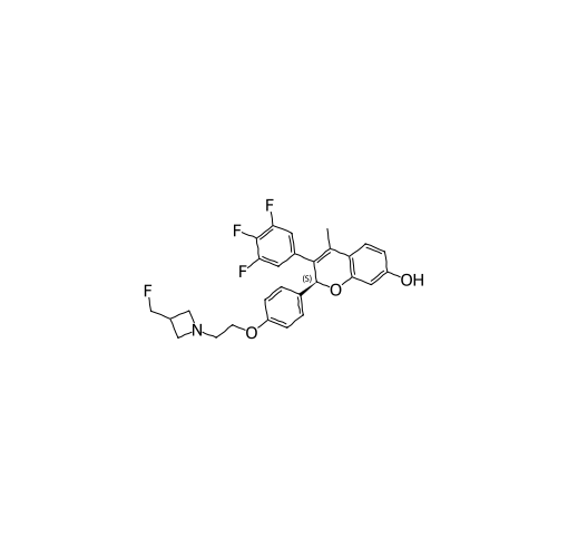 CC1=C(c2cc(F)c(F)c(F)c2)[C@H](c2ccc(OCCN3CC(CF)C3)cc2)Oc2cc(O)ccc21